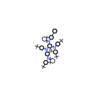 CC(C)(C)c1ccc(N2c3ccc(N4c5ccc(C(C)(C)C)cc5C5(C)CCCCC45C)cc3B3c4cc(C(C)(C)C)ccc4N(c4ccc(C(C)(C)C)cc4)c4cc(N5c6ccc(-c7ccccc7)cc6C6(C)CCCCC56C)cc2c43)cc1